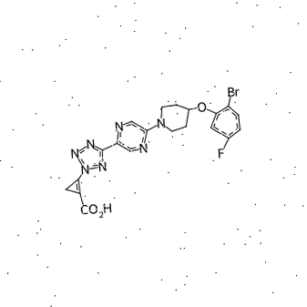 O=C(O)C1=C(n2nnc(-c3cnc(N4CCC(Oc5cc(F)ccc5Br)CC4)cn3)n2)C1